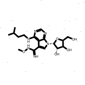 CONC(=N)c1cn([C@@H]2OC(CO)C(O)[C@@H]2O)c2ncnc(NCCC(C)C)c12